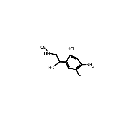 CC(C)(C)NCC(O)c1ccc(N)c(F)c1.Cl